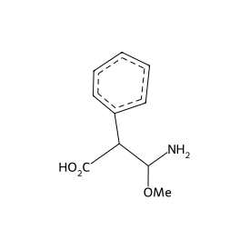 COC(N)C(C(=O)O)c1ccccc1